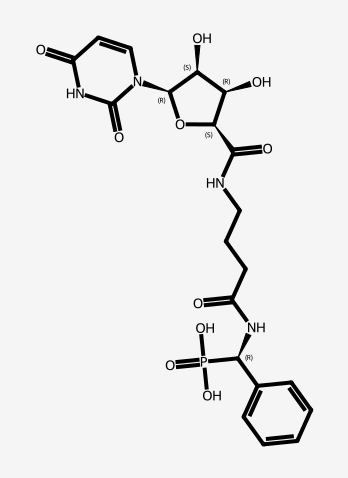 O=C(CCCNC(=O)[C@H]1O[C@@H](n2ccc(=O)[nH]c2=O)[C@@H](O)[C@H]1O)N[C@@H](c1ccccc1)P(=O)(O)O